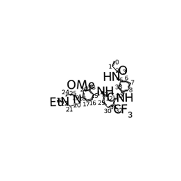 C=CC(=O)Nc1cccc(Nc2cc(Nc3ccc(N4CCN(CC)CC4)cc3OC)ccc2C(F)(F)F)c1